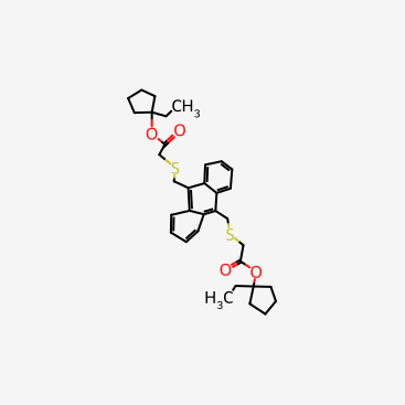 CCC1(OC(=O)CSCc2c3ccccc3c(CSCC(=O)OC3(CC)CCCC3)c3ccccc23)CCCC1